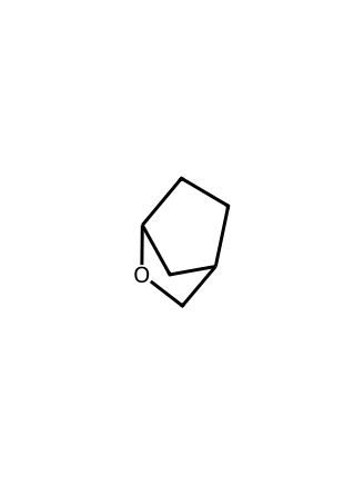 C1CC2CC1CO2